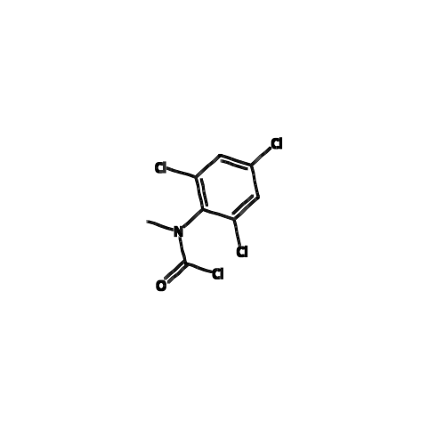 CN(C(=O)Cl)c1c(Cl)cc(Cl)cc1Cl